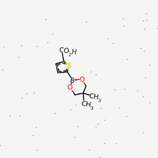 CC1(C)COB(c2ccc(C(=O)O)s2)OC1